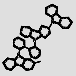 Cc1ccc2c3ccccc3n(-c3ccccc3-c3ccccc3-n3c4ccccc4c4cc(-n5c6ccccc6c6ccccc65)ccc43)c2c1